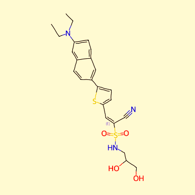 CCN(CC)c1ccc2cc(-c3ccc(/C=C(\C#N)S(=O)(=O)NCC(O)CO)s3)ccc2c1